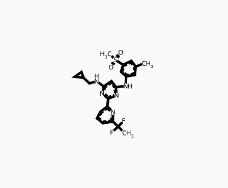 Cc1cc(Nc2cc(NCC3CC3)nc(-c3cccc(C(C)(F)F)n3)n2)cc(S(C)(=O)=O)c1